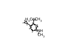 CNc1ccc(C2CC2)c(C(C)C)n1